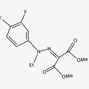 CCN(N=C(C(=O)OC)C(=O)OC)c1ccc(F)c(F)c1